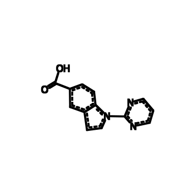 O=C(O)c1ccc2c(ccn2-c2ncccn2)c1